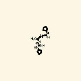 CC(C=NNC(=N)NC1CCCC1)=NNC(=N)NC1CCCC1